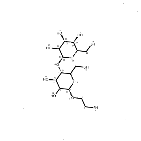 OCC1O[C@@H](OCCS)C(O)[C@@H](O)[C@@H]1O[C@@H]1OC(CS)[C@H](O)[C@H](O)C1O